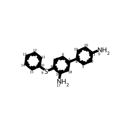 Nc1ccc(-c2ccc(Sc3ccccc3)c(N)c2)cc1